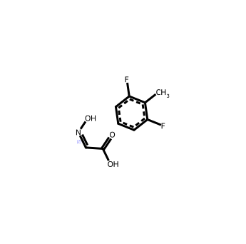 Cc1c(F)cccc1F.O=C(O)/C=N\O